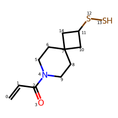 C=CC(=O)N1CCC2(CC1)CC(SS)C2